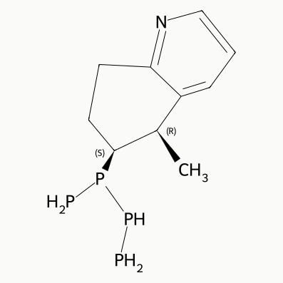 C[C@@H]1c2cccnc2CC[C@@H]1P(P)PP